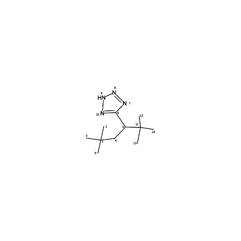 CC(C)(C)CC(c1nn[nH]n1)C(C)(C)C